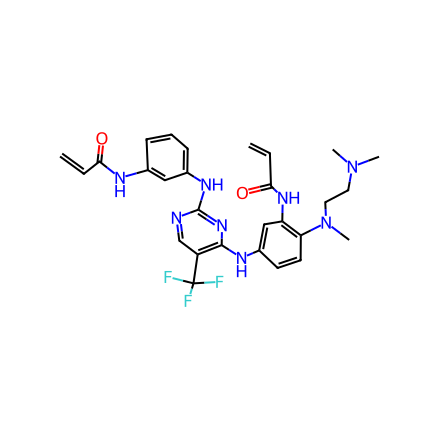 C=CC(=O)Nc1cccc(Nc2ncc(C(F)(F)F)c(Nc3ccc(N(C)CCN(C)C)c(NC(=O)C=C)c3)n2)c1